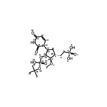 CO[C@@H]1[C@@H](CCP(=O)(O)O)C[C@H](n2ccc(=O)[nH]c2=O)[C@@H]1OP(=O)(O)OC(C)(C)C